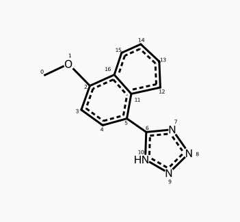 COc1ccc(-c2nnn[nH]2)c2ccccc12